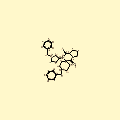 O=C1C2CCCN2C(=O)C2(CCN(Cc3ccccc3)CC2)N1C1CCN(Cc2ccccc2)C1